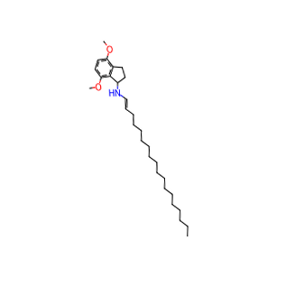 CCCCCCCCCCCCCCCCC=CNC1CCc2c(OC)ccc(OC)c21